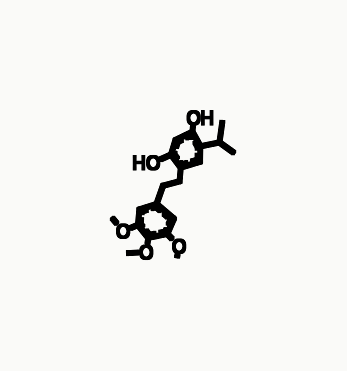 COc1cc(CCc2cc(C(C)C)c(O)cc2O)cc(OC)c1OC